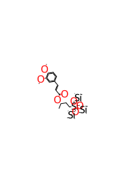 COc1ccc(C=CC(=O)OC(C)CC[Si](O[Si](C)(C)C)(O[Si](C)(C)C)O[Si](C)(C)C)cc1OC